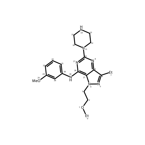 CCOCCn1nc(CC)c2nc(N3CCNCC3)nc(Nc3cccc(OC)c3)c21